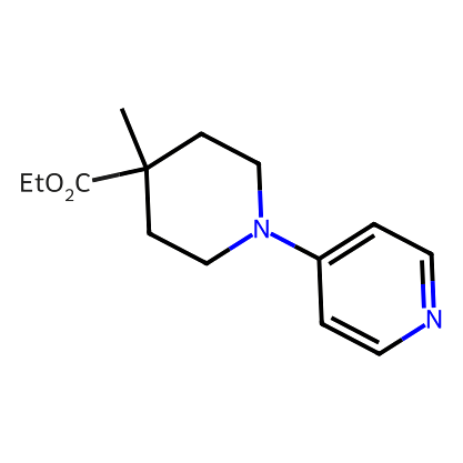 CCOC(=O)C1(C)CCN(c2ccncc2)CC1